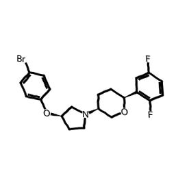 Fc1ccc(F)c([C@@H]2CC[C@H](N3CC[C@@H](Oc4ccc(Br)cc4)C3)CO2)c1